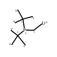 [Li][CH2]P(C(C)(C)C)C(C)(C)C